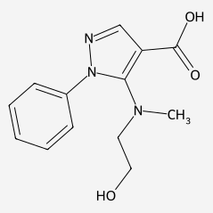 CN(CCO)c1c(C(=O)O)cnn1-c1ccccc1